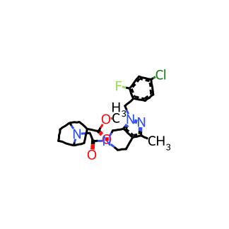 COC(=O)C1CC2CCC(C1)N2CC(=O)N1CCc2c(C)nn(Cc3ccc(Cl)cc3F)c2C1